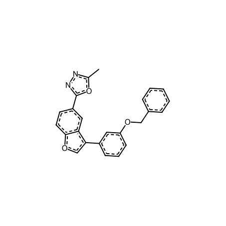 Cc1nnc(-c2ccc3occ(-c4cccc(OCc5ccccc5)c4)c3c2)o1